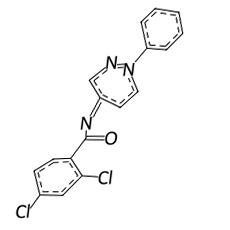 O=C(/N=c1\ccn(-c2ccccc2)nc1)c1ccc(Cl)cc1Cl